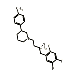 Cc1ccc(C2CCCN(CC[C@H](N)Cc3cc(F)c(F)cc3F)C2)cc1